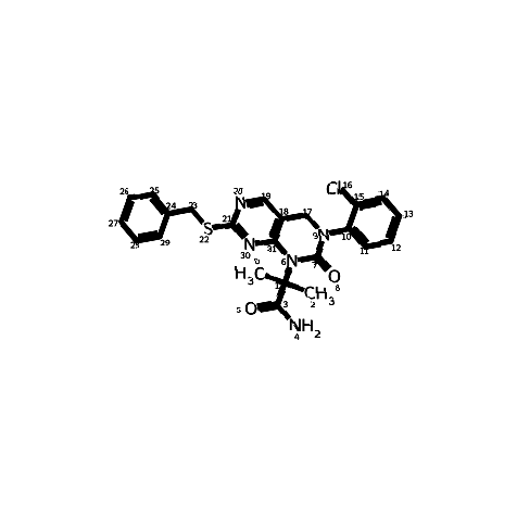 CC(C)(C(N)=O)N1C(=O)N(c2ccccc2Cl)Cc2cnc(SCc3ccccc3)nc21